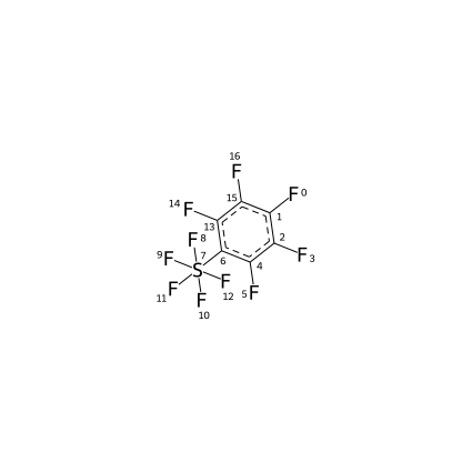 Fc1c(F)c(F)c(S(F)(F)(F)(F)F)c(F)c1F